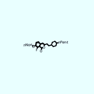 CCCCCCCCCOc1ccc2cc(CCC3CCC(CCCCC)CC3)oc(=O)c2c1F